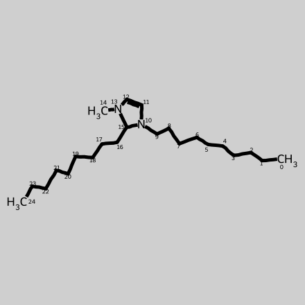 CCCCCCCCCCN1C=CN(C)C1CCCCCCCCC